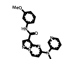 COc1cccc(NC(=O)c2cnn3ccc(N(C)c4cccnc4)nc23)c1